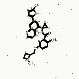 Cc1ccc(OCC2CCN2C)cc1C(=O)NC1(c2cc(-c3ccc(Cl)s3)cc3ncccc23)CC1